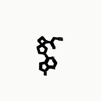 N#CCC(=O)N1CC[C@@]12CCN(c1ncnc3[nH]ccc13)C2